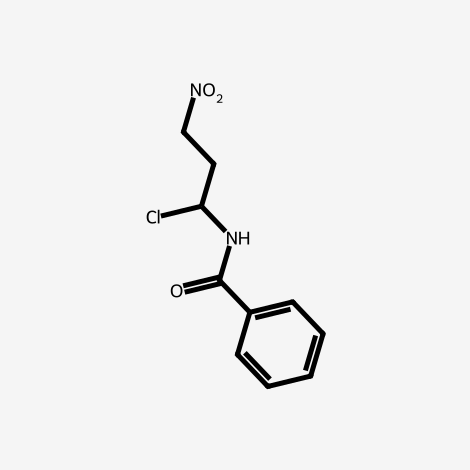 O=C(NC(Cl)CC[N+](=O)[O-])c1ccccc1